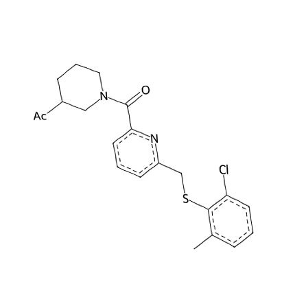 CC(=O)C1CCCN(C(=O)c2cccc(CSc3c(C)cccc3Cl)n2)C1